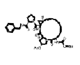 CC(=O)O[C@@H]1C[C@H]2C(=O)N[C@]3(C(=O)N4CCC[C@@H]4C(=O)NCc4ccccc4)C[C@H]3/C=C\CCCCC[C@H](NC(=O)OC(C)(C)C)C(=O)N2C1